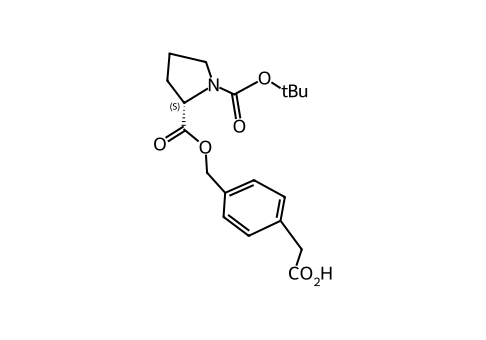 CC(C)(C)OC(=O)N1CCC[C@H]1C(=O)OCc1ccc(CC(=O)O)cc1